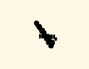 Nc1nc(Nc2ccc3c(c2)CCC(N2CCC(N4CCCC4)CC2)CC3)nn1-c1cc2c(nn1)-c1ccccc1CCC2